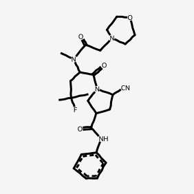 CN(C(=O)CN1CCOCC1)C(CC(C)(C)F)C(=O)N1CC(C(=O)Nc2ccccc2)CC1C#N